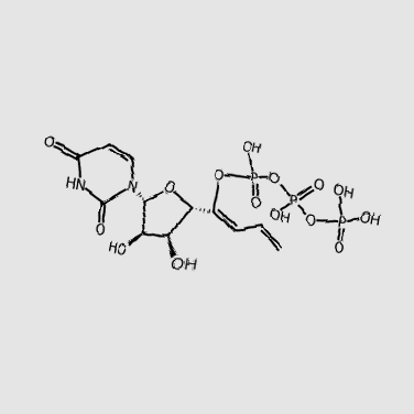 C=CC=C(OP(=O)(O)OP(=O)(O)OP(=O)(O)O)[C@H]1O[C@@H](n2ccc(=O)[nH]c2=O)[C@H](O)[C@@H]1O